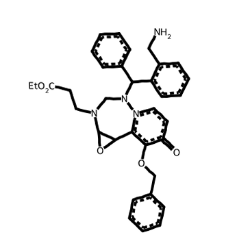 CCOC(=O)CCN1CN(C(c2ccccc2)c2ccccc2CN)n2ccc(=O)c(OCc3ccccc3)c2C2OC21